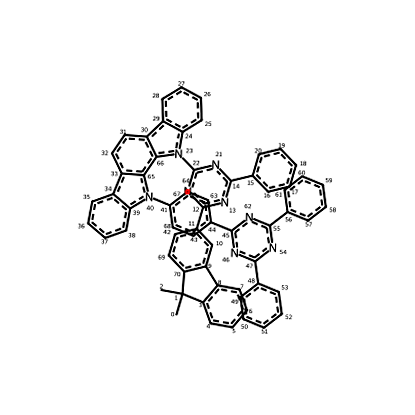 CC1(C)c2ccccc2-c2cc(-c3nc(-c4ccccc4)nc(-n4c5ccccc5c5ccc6c7ccccc7n(-c7ccc(-c8nc(-c9ccccc9)nc(-c9ccccc9)n8)cc7)c6c54)n3)ccc21